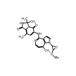 CC1=C=CN=C(Nc2cc(C)c3n(c2=O)C(C)(C)NC3=O)c2ccn(C3OC3OC(C)(C)C)c21